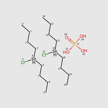 CCC[CH2][SnH]([Cl])[CH2]CCC.CCC[CH2][SnH]([Cl])[CH2]CCC.O=P(O)(O)O